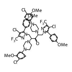 COc1ccc(-c2c(Cl)c(C(F)(F)F)nn2CC(C(=O)C(Cn2nc(C(F)(F)F)c(Cl)c2-c2ccc(OC)cc2)N2CCN(c3ccc(Cl)c(OC)c3)CC2)N2CCN(c3ccc(Cl)c(OC)c3)CC2)cc1